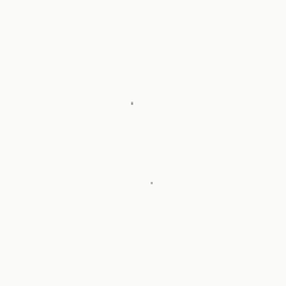 CCCCCSOSO